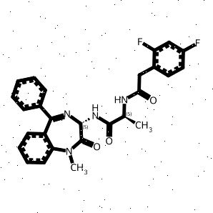 C[C@H](NC(=O)Cc1ccc(F)cc1F)C(=O)N[C@H]1N=C(c2ccccc2)c2ccccc2N(C)C1=O